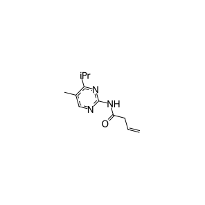 C=CCC(=O)Nc1ncc(C)c(C(C)C)n1